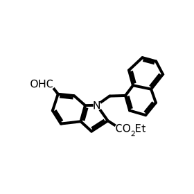 CCOC(=O)c1cc2ccc(C=O)cc2n1Cc1cccc2ccccc12